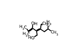 C=C/C(CC(C)C)=C(/CO)C(O)=C(C)C